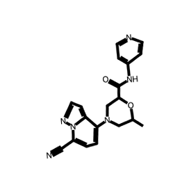 CC1CN(c2ccc(C#N)n3nccc23)CC(C(=O)Nc2ccncc2)O1